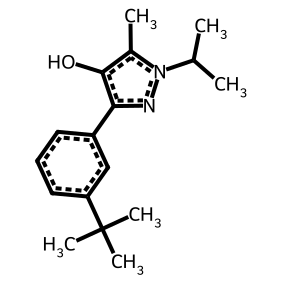 Cc1c(O)c(-c2cccc(C(C)(C)C)c2)nn1C(C)C